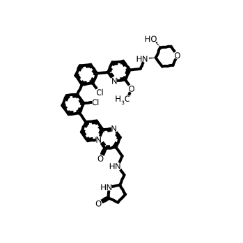 COc1nc(-c2cccc(-c3cccc(-c4ccn5c(=O)c(CNCC6CCC(=O)N6)cnc5c4)c3Cl)c2Cl)ccc1CN[C@H]1CCOC[C@H]1O